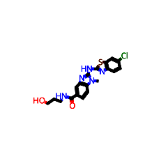 Cn1c(Nc2nc3ccc(Cl)cc3s2)nc2cc(C(=O)NCCCO)ccc21